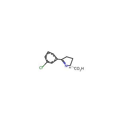 O=C(O)[C@H]1CCC(c2cccc(Cl)c2)=N1